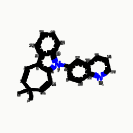 CC1(C)C=Cc2c(n(-c3ccc4ncccc4c3)c3ccccc23)C=C1